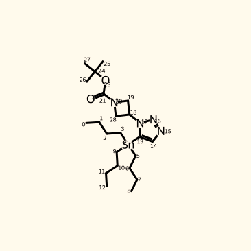 CCC[CH2][Sn]([CH2]CCC)([CH2]CCC)[c]1cnnn1C1CN(C(=O)OC(C)(C)C)C1